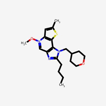 CCCCc1nc2c[n+](OC)c3cc(C)sc3c2n1CC1CCOCC1